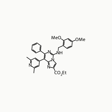 CCOC(=O)c1cn2c(NCc3ccc(OC)cc3OC)nc(-c3ccccc3)c(-c3cc(C)nc(C)c3)c2n1